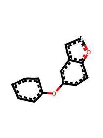 b1cc2cc(Oc3ccccc3)ccc2o1